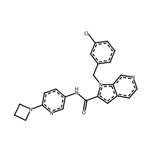 O=C(Nc1ccc(N2CCC2)nc1)c1cc2ccncc2n1Cc1cccc(Cl)c1